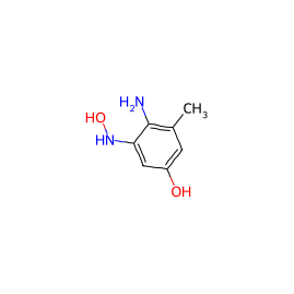 Cc1cc(O)cc(NO)c1N